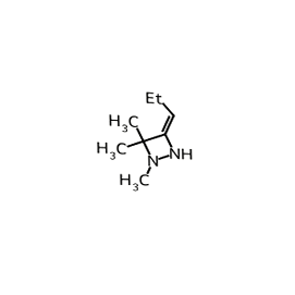 CC/C=C1/NN(C)C1(C)C